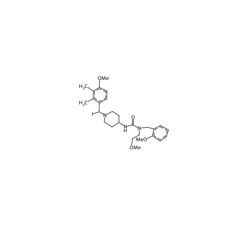 COCCN(Cc1ccccc1OC)C(=O)NC1CCN(C(I)c2ccc(OC)c(C)c2C)CC1